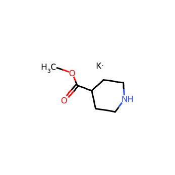 COC(=O)C1CCNCC1.[K]